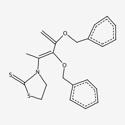 C=C(OCc1ccccc1)/C(OCc1ccccc1)=C(\C)N1CCSC1=S